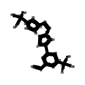 O=Cc1cc(-c2ncn(/C=C\c3nnc(C(F)(F)F)o3)n2)cc(C(F)(F)F)c1